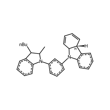 CCCCC1c2ccccc2N(c2cccc(N3c4ccccc4[C@H]4C=CC=CC43)c2)C1C